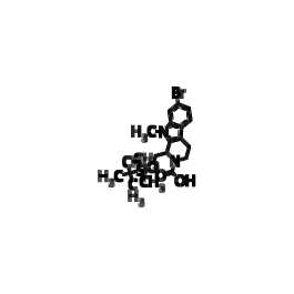 Cn1c2c(c3ccc(Br)cc31)CCN(C(=O)O)C2CO[Si](C)(C)C(C)(C)C